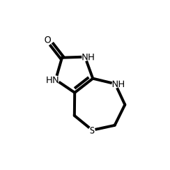 O=c1[nH]c2c([nH]1)NCCSC2